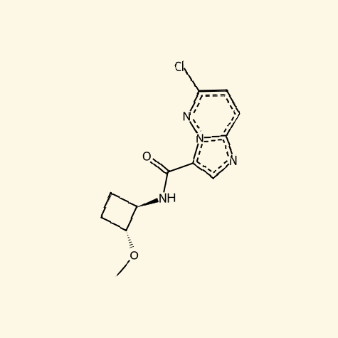 CO[C@@H]1CC[C@H]1NC(=O)c1cnc2ccc(Cl)nn12